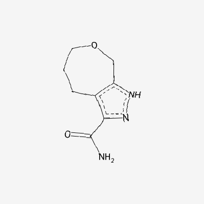 NC(=O)c1n[nH]c2c1CCCOC2